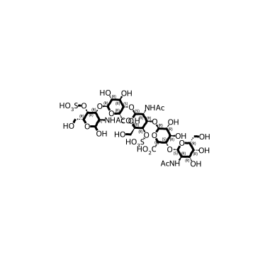 CC(=O)N[C@H]1[C@H](O[C@H]2[C@H](O)[C@@H](O)[C@H](O[C@@H]3[C@@H](NC(C)=O)[C@H](O[C@H]4[C@H](O)[C@@H](O)[C@H](O[C@H]5[C@@H](OS(=O)(=O)O)[C@@H](CO)OC(O)[C@@H]5NC(C)=O)O[C@H]4C(=O)O)O[C@H](CO)[C@@H]3OS(=O)(=O)O)O[C@H]2C(=O)O)O[C@H](CO)[C@H](O)[C@@H]1O